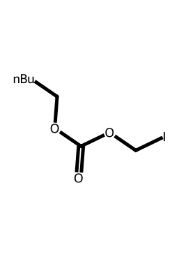 CCCCCOC(=O)OCI